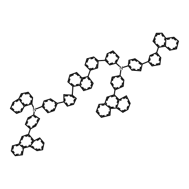 c1cc(-c2ccc(N(c3ccc(-c4cc5ccccc5c5ccccc45)cc3)c3cccc(-c4cccc(-c5cccc6c(-c7cccc(-c8ccc(N(c9ccc(-c%10cc%11ccccc%11c%11ccccc%10%11)cc9)c9cccc%10ccccc9%10)cc8)c7)cccc56)c4)c3)cc2)cc(-c2cccc3ccccc23)c1